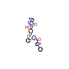 Cn1c(C(=O)N2CC[C@@H](C(=O)N3CCC(O)(Cn4cnc5c(ccn5C)c4=O)CC3)[C@H](c3ccccc3)C2)ccc1-c1ccccc1